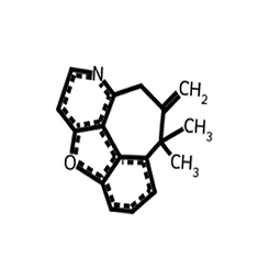 C=C1Cc2nccc3oc4cccc(c4c23)C1(C)C